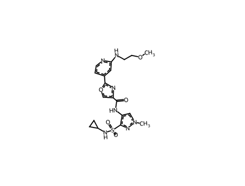 COCCNc1cc(-c2nc(C(=O)Nc3cn(C)nc3S(=O)(=O)NC3CC3)co2)ccn1